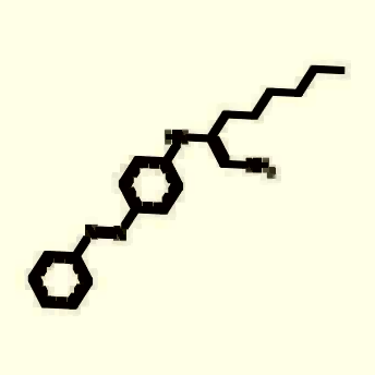 CCCCCCC(=CN)Nc1ccc(N=Nc2ccccc2)cc1